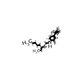 CCCCC[C@H](CC)SCNc1ccc(C(F)(F)F)cc1F